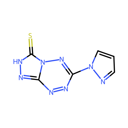 S=c1[nH]nc2nnc(-n3cccn3)nn12